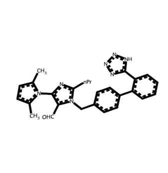 CCCc1nc(-n2c(C)ccc2C)c(C=O)n1Cc1ccc(-c2ccccc2-c2nnn[nH]2)cc1